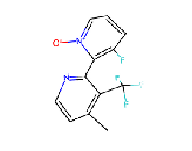 Cc1ccnc(-c2c(F)ccc[n+]2[O-])c1C(F)(F)F